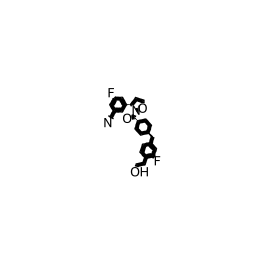 N#Cc1cc(F)cc([C@@H]2CCON2C(=O)[C@H]2CC[C@H](Cc3ccc(CCO)c(F)c3)CC2)c1